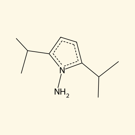 CC(C)c1ccc(C(C)C)n1N